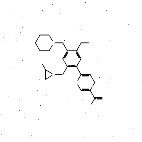 C=C(C)C1=CNC(c2cc(CC)c(CN3CCCCC3)cc2CN2CC2C)=CC1